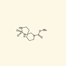 CC(C)(C)OC(=O)N1CCCC2(CCNS(=O)(=O)N2)C1